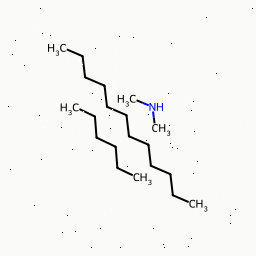 CCCCCC.CCCCCCCCCCCC.CNC